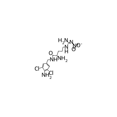 N/C(=N/[N+](=O)[O-])NCCC[C@@H](N)C(=O)NCc1cc(Cl)c(N)c(Cl)c1